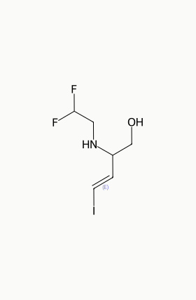 OCC(/C=C/I)NCC(F)F